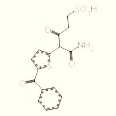 NC(=O)C(C(=O)CCS(=O)(=O)O)c1ccc(C(=O)c2ccccc2)s1